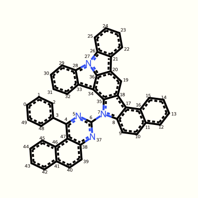 c1ccc(-c2nc(-n3c4ccc5ccccc5c4c4cc5c6ccccc6n6c7ccccc7c(c43)c56)nc3ccc4ccccc4c23)cc1